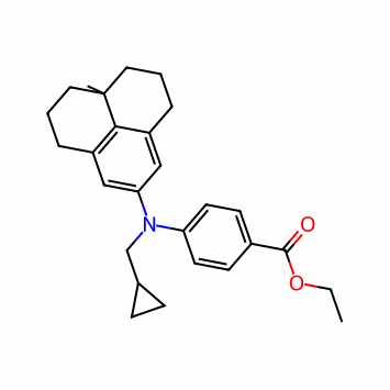 CCOC(=O)c1ccc(N(CC2CC2)c2cc3c4c(c2)CCCC4(C)CCC3)cc1